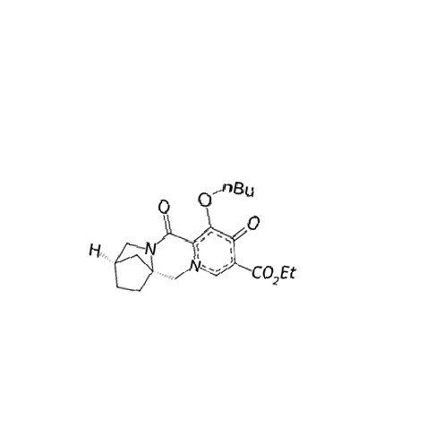 CCCCOc1c2n(cc(C(=O)OCC)c1=O)C[C@@]13CC[C@@H](CN1C2=O)C3